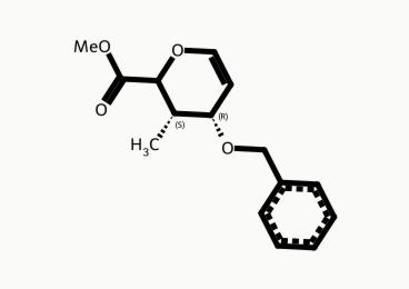 COC(=O)C1OC=C[C@H](OCc2ccccc2)[C@@H]1C